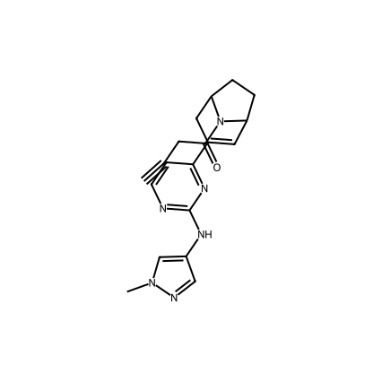 C#CCC(=O)N1C2C=C(c3ccnc(Nc4cnn(C)c4)n3)CC1CC2